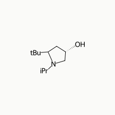 CC(C)N1C[C@@H](O)CC1C(C)(C)C